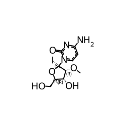 CO[C@@H]1[C@H](O)[C@@H](CO)O[C@@]1(I)n1ccc(N)nc1=O